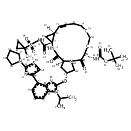 CC(C)n1c(O[C@@H]2C[C@H]3C(=O)N[C@]4(C(=O)NS(=O)(=O)C5(C)CC5)C[C@H]4/C=C\CCCCC[C@H](NC(=O)OC(C)(C)C)C(=O)N3C2)nc2c(-c3csc(N4CCCC4)n3)cccc21